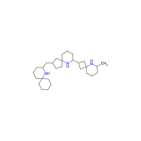 CC1CCCC2(CC(C3CCCC4(CCC(CC5CCCC6(CCCCC6)N5)C4)N3)C2)N1